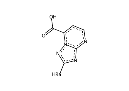 O=C(O)c1ccnc2n[c]([RaH])nn12